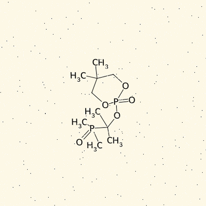 CC1(C)COP(=O)(OC(C)(C)P(C)(C)=O)OC1